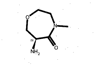 CN1CCOC[C@H](N)C1=O